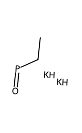 CCP=O.[KH].[KH]